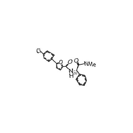 CNC(=O)[C@@H](NC(=O)c1ccc(-c2ccc(Cl)cc2)o1)c1ccccc1